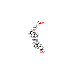 CC1(C(=O)NC(=O)C2CCCC3(C)c4cc(NC(=O)CCCCC(=O)O)ccc4CCC23)CCCC2c3cc(O)ccc3CCC21